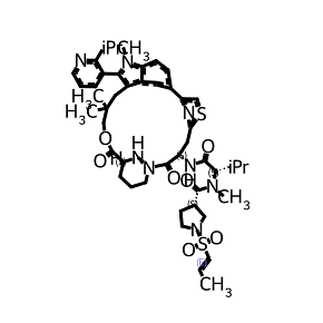 C/C=C/S(=O)(=O)N1CC[C@H](C(=O)N(C)[C@H](C(=O)N[C@H]2Cc3nc(cs3)-c3ccc4c(c3)c(c(-c3cccnc3C(C)C)n4C)CC(C)(C)COC(=O)[C@@H]3CCCN(N3)C2=O)C(C)C)C1